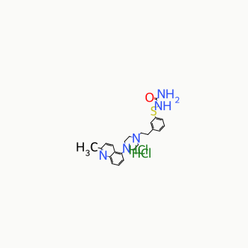 Cc1ccc2c(N3CCN(CCc4cccc(SNC(N)=O)c4)CC3)cccc2n1.Cl.Cl